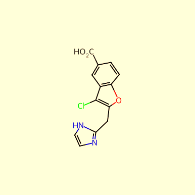 O=C(O)c1ccc2oc(Cc3ncc[nH]3)c(Cl)c2c1